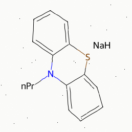 CCCN1c2ccccc2Sc2ccccc21.[NaH]